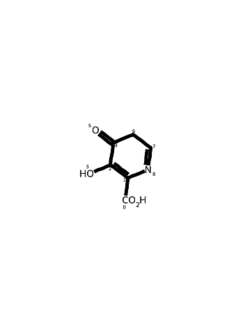 O=C(O)C1=C(O)C(=O)CC=N1